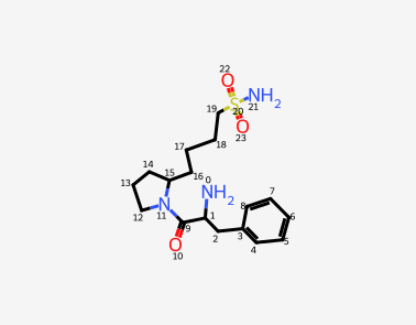 NC(Cc1ccccc1)C(=O)N1CCCC1CCCCS(N)(=O)=O